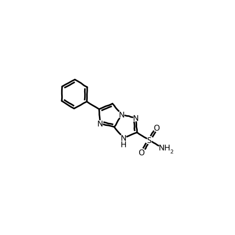 NS(=O)(=O)c1nn2cc(-c3ccccc3)nc2[nH]1